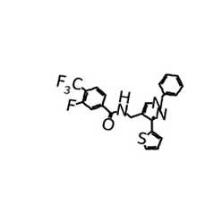 O=C(NCc1cn(-c2ccccc2)nc1-c1cccs1)c1ccc(C(F)(F)F)c(F)c1